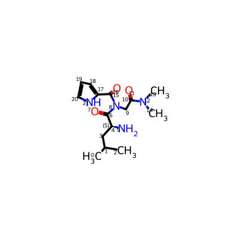 CC(C)C[C@H](N)C(=O)N(CC(=O)N(C)C)C(=O)c1ccc[nH]1